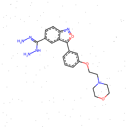 N/N=C(\NN)c1ccc2noc(-c3cccc(OCCN4CCOCC4)c3)c2c1